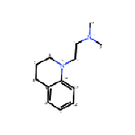 CN(C)CCN1CCCc2cc[c]cc21